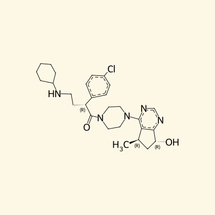 C[C@@H]1C[C@@H](O)c2ncnc(N3CCN(C(=O)[C@H](CCNC4CCCCC4)c4ccc(Cl)cc4)CC3)c21